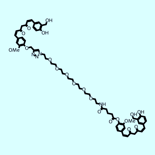 COc1cc(/C=C\C(=O)CC(=O)/C=C\c2ccc(O)c(CO)c2)ccc1OCc1cn(CCOCCOCCOCCOCCOCCOCCNC(=O)CCCC(=O)Oc2ccc(/C=C\C(=O)CC(=O)/C=C\c3ccc(O)c(CO)c3)cc2OC)nn1